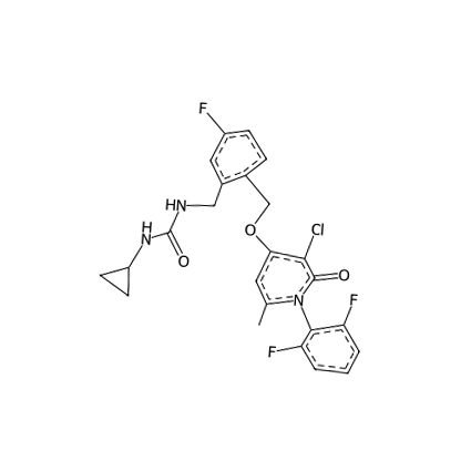 Cc1cc(OCc2ccc(F)cc2CNC(=O)NC2CC2)c(Cl)c(=O)n1-c1c(F)cccc1F